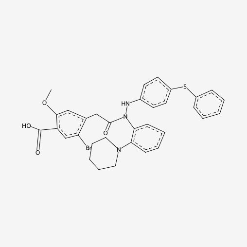 COc1cc(CC(=O)N(Nc2ccc(Sc3ccccc3)cc2)c2ccccc2N2CCCCC2)c(Br)cc1C(=O)O